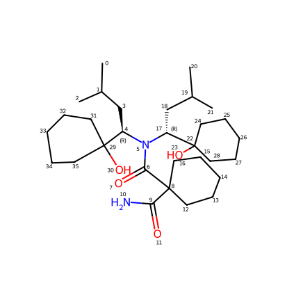 CC(C)C[C@@H](N(C(=O)C1(C(N)=O)CCCCC1)[C@H](CC(C)C)C1(O)CCCCC1)C1(O)CCCCC1